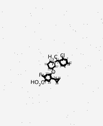 C[C@H](c1ccc(F)cc1Cl)N1CCCC(Oc2cc(F)c(C(=O)O)cc2C2CC2)C1